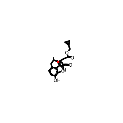 C[C@@H]1Cc2ccc(O)c3c2[C@]24CCN(C(=O)OCC5=CC5)OC12CCC(=O)[C@@H]4O3